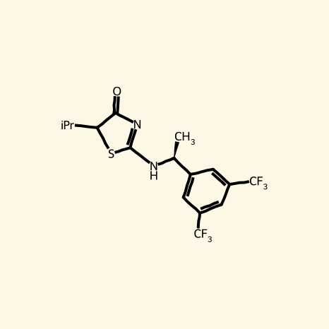 CC(C)C1SC(N[C@@H](C)c2cc(C(F)(F)F)cc(C(F)(F)F)c2)=NC1=O